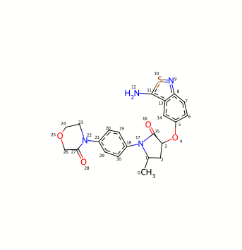 CC1CC(Oc2ccc3nsc(N)c3c2)C(=O)N1c1ccc(N2CCOCC2=O)cc1